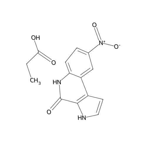 CCC(=O)O.O=c1[nH]c2ccc([N+](=O)[O-])cc2c2cc[nH]c12